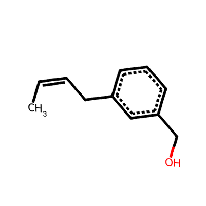 C/C=C\Cc1cccc(CO)c1